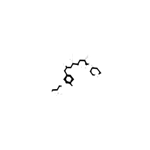 COCCCOc1cc(CC(C[C@H](N)C(O)C[C@H](C(=O)NC2CCNCC2)C(C)C)C(C)C)ccc1C